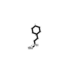 CC(C)(C)PCCC1CCCCC1